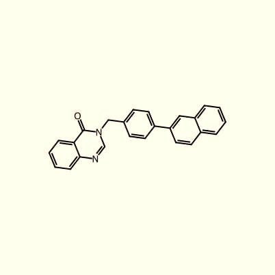 O=c1c2ccccc2ncn1Cc1ccc(-c2ccc3ccccc3c2)cc1